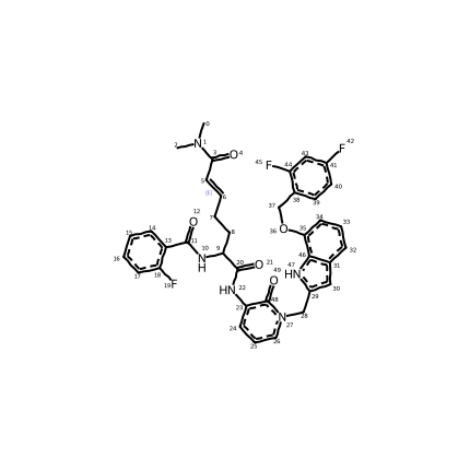 CN(C)C(=O)/C=C/CCC(NC(=O)c1ccccc1F)C(=O)Nc1cccn(Cc2cc3cccc(OCc4ccc(F)cc4F)c3[nH]2)c1=O